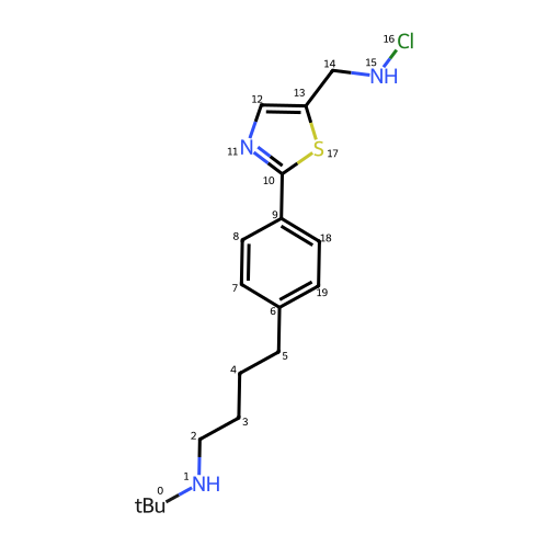 CC(C)(C)NCCCCc1ccc(-c2ncc(CNCl)s2)cc1